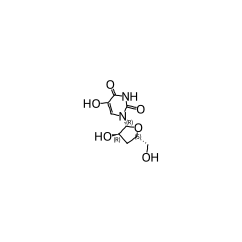 O=c1[nH]c(=O)n([C@@H]2O[C@H](CO)C[C@H]2O)cc1O